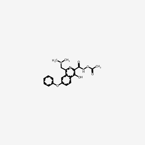 CC(=O)ONC(=O)c1nc(CN(C)C)c2cc(Oc3ccccc3)ccc2c1O